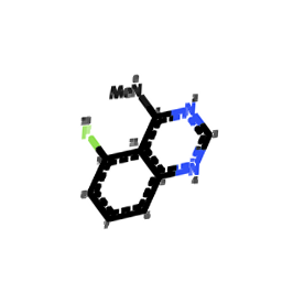 CNc1ncnc2cccc(F)c12